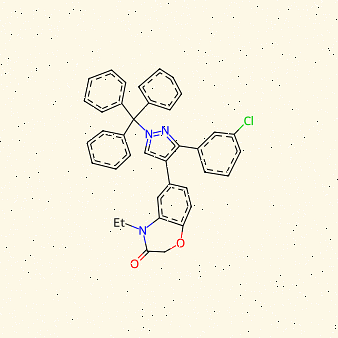 CCN1C(=O)COc2ccc(-c3cn(C(c4ccccc4)(c4ccccc4)c4ccccc4)nc3-c3cccc(Cl)c3)cc21